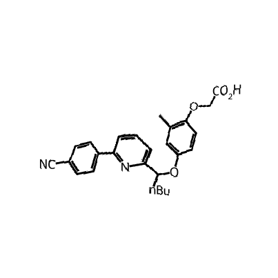 CCCCC(Oc1ccc(OCC(=O)O)c(C)c1)c1cccc(-c2ccc(C#N)cc2)n1